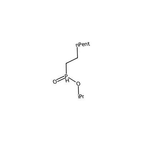 CCCCCCC[PH](=O)OC(C)C